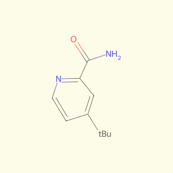 CC(C)(C)c1ccnc(C(N)=O)c1